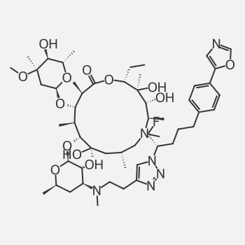 CC[C@H]1OC(=O)[C@H](C)[C@@H](O[C@H]2C[C@@](C)(OC)[C@@H](O)[C@H](C)O2)[C@H](C)[C@@H](O[C@@H]2O[C@H](C)C[C@H](N(C)CCc3cn([C@H](CF)CCCc4ccc(-c5cnco5)cc4)nn3)[C@H]2O)[C@](C)(O)C[C@@H](C)CN(C)[C@H](C)[C@@H](O)[C@]1(C)O